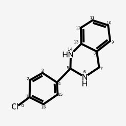 Clc1ccc(C2NCc3ccccc3N2)cc1